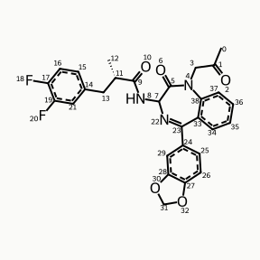 CC(=O)CN1C(=O)C(NC(=O)[C@@H](C)Cc2ccc(F)c(F)c2)N=C(c2ccc3c(c2)OCO3)c2ccccc21